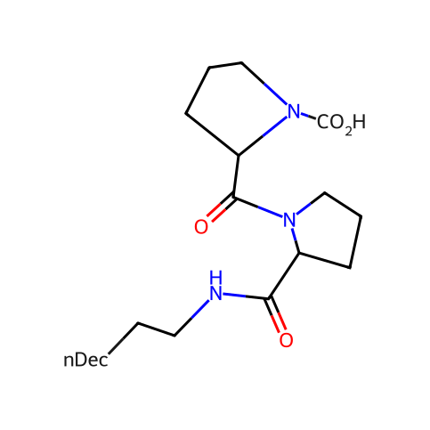 CCCCCCCCCCCCNC(=O)C1CCCN1C(=O)C1CCCN1C(=O)O